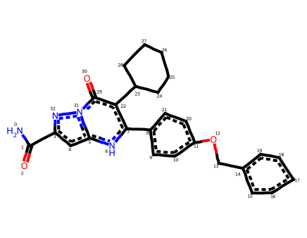 NC(=O)c1cc2[nH]c(-c3ccc(OCc4ccccc4)cc3)c(C3CCCCC3)c(=O)n2n1